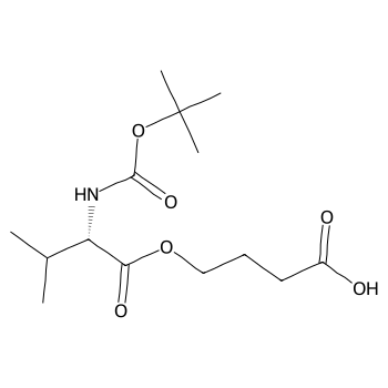 CC(C)[C@H](NC(=O)OC(C)(C)C)C(=O)OCCCC(=O)O